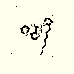 CCCCCCCCc1cccs1.O=C(O)c1cccs1.c1ccsc1